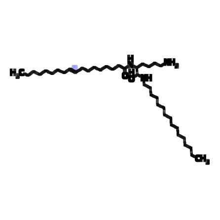 CCCCCCCC/C=C/CCCCCCCC(=O)NC(CCCCN)C(O)NCCCCCCCCCCCCCCCC